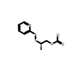 C[C@H](COC(=O)Cl)SSc1ccccn1